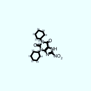 O=c1c2[nH]c([N+](=O)[O-])nc2n(C2CCCCC2)c(=O)n1C1CCCCC1